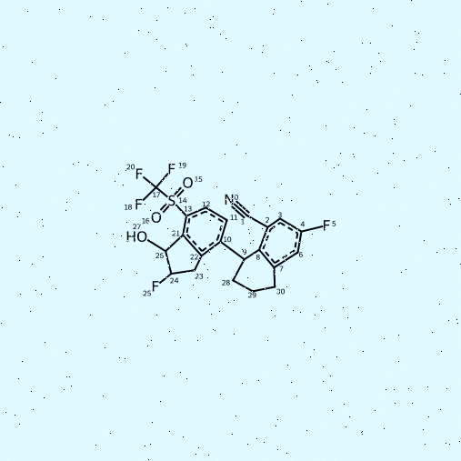 N#Cc1cc(F)cc2c1C(c1ccc(S(=O)(=O)C(F)(F)F)c3c1CC(F)C3O)CCC2